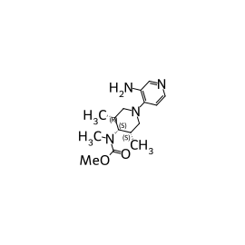 COC(=O)N(C)[C@@H]1[C@H](C)CN(c2ccncc2N)C[C@@H]1C